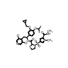 CNC(=O)c1cc(S(=O)(=O)N2CCSC2C(=O)OC(Cc2c(Cl)cncc2Cl)c2ccc(OC(F)F)c(OCC3CC3)c2)cn1C